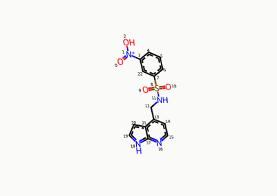 O=[N+](O)c1cccc(S(=O)(=O)NCc2ccnc3[nH]ccc23)c1